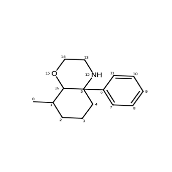 CC1CCCC2(c3ccccc3)NCCOC12